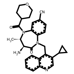 C[C@H]1[C@H](N)C(=O)N(Cc2c(C3CC3)cnc3ccccc23)c2ccc(C#N)cc2N1C(=O)C1CCOCC1